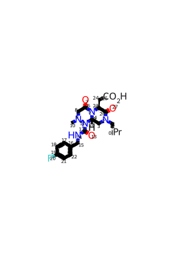 CC(C)CN1C[C@H]2N(C(=O)CN(C)N2C(=O)NCc2ccc(F)cc2)[C@@H](CC(=O)O)C1=O